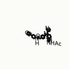 CC(=O)Nc1nc2c(s1)-c1c(c(-c3cccnc3)nn1-c1ccc(CC(=O)N[C@H]3CC[C@H](N4CCOCC4)CC3)cc1)CC2